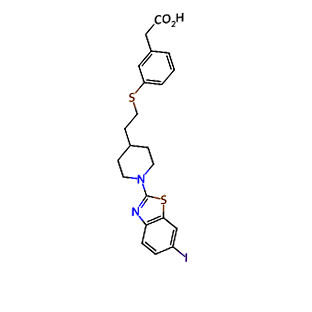 O=C(O)Cc1cccc(SCCC2CCN(c3nc4ccc(I)cc4s3)CC2)c1